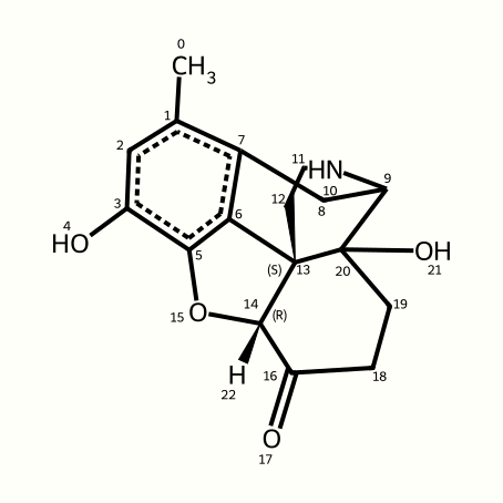 Cc1cc(O)c2c3c1CC1NCC[C@@]34[C@@H](O2)C(=O)CCC14O